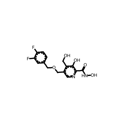 O=C(NO)c1ncc(COCc2ccc(F)c(F)c2)c(CO)c1O